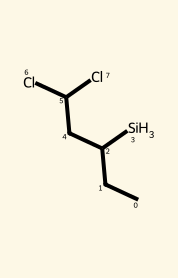 CCC([SiH3])CC(Cl)Cl